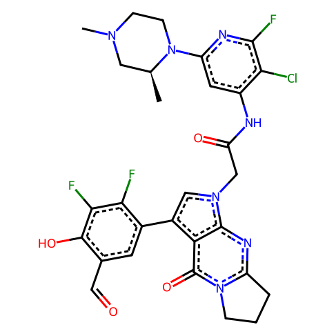 C[C@H]1CN(C)CCN1c1cc(NC(=O)Cn2cc(-c3cc(C=O)c(O)c(F)c3F)c3c(=O)n4c(nc32)CCC4)c(Cl)c(F)n1